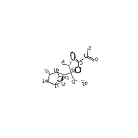 C=C(C)C(=O)OC(CC)(CC)C1CC2CCC1O2